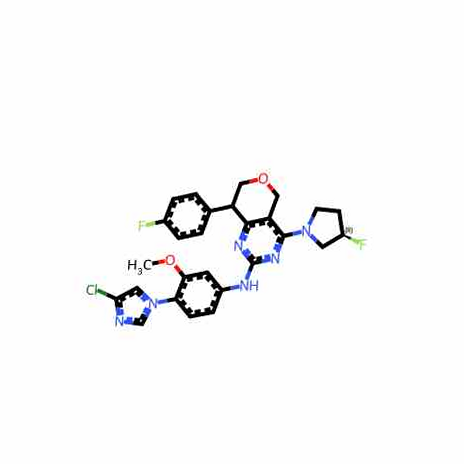 COc1cc(Nc2nc3c(c(N4CC[C@@H](F)C4)n2)COCC3c2ccc(F)cc2)ccc1-n1cnc(Cl)c1